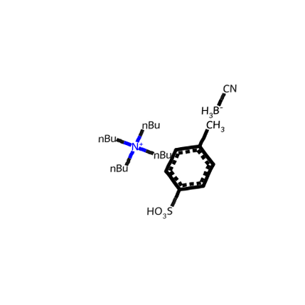 CCCC[N+](CCCC)(CCCC)CCCC.Cc1ccc(S(=O)(=O)O)cc1.[BH3-]C#N